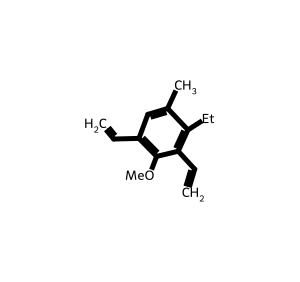 C=Cc1cc(C)c(CC)c(C=C)c1OC